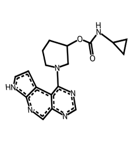 O=C(NC1CC1)OC1CCCN(c2ncnc3cnc4[nH]ccc4c23)C1